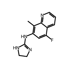 Cc1c(NC2=NCCN2)cc(F)c2cccnc12